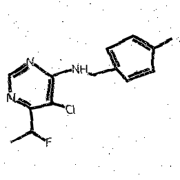 Cc1ccc(CNc2ncnc(C(C)F)c2Cl)cc1